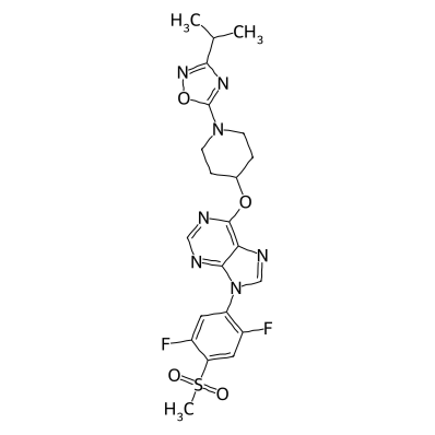 CC(C)c1noc(N2CCC(Oc3ncnc4c3ncn4-c3cc(F)c(S(C)(=O)=O)cc3F)CC2)n1